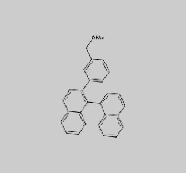 COCc1cccc(-c2ccc3ccccc3c2-c2cccc3ccccc23)c1